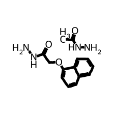 CC(=O)NN.NNC(=O)COc1cccc2ccccc12